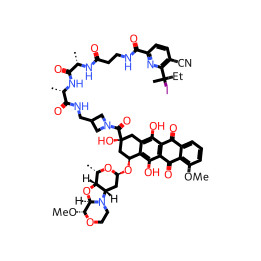 CCC(C)(I)c1nc(C(=O)NCCC(=O)N[C@@H](C)C(=O)N[C@@H](C)C(=O)NCC2CN(C(=O)[C@]3(O)Cc4c(O)c5c(c(O)c4[C@@H](O[C@H]4C[C@H]6[C@H](O[C@@H]7[C@@H](OC)OCCN76)[C@H](C)O4)C3)C(=O)c3c(OC)cccc3C5=O)C2)ccc1C#N